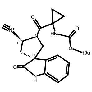 C#[N+][C@@H]1C[C@@]2(CN1C(=O)C1(NC(=O)OC(C)(C)C)CC1)C(=O)Nc1ccccc12